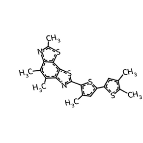 Cc1nc2c(C)c(C)c3nc(-c4sc(-c5cc(C)c(C)s5)cc4C)sc3c2s1